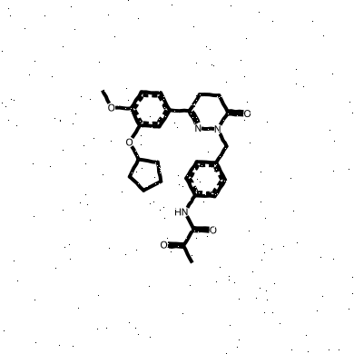 COc1ccc(C2=NN(Cc3ccc(NC(=O)C(C)=O)cc3)C(=O)CC2)cc1OC1CCCC1